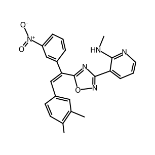 CNc1ncccc1-c1noc(/C(=C\c2ccc(C)c(C)c2)c2cccc([N+](=O)[O-])c2)n1